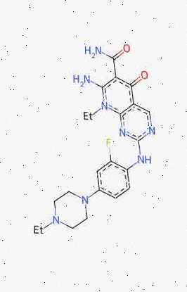 CCN1CCN(c2ccc(Nc3ncc4c(=O)c(C(N)=O)c(N)n(CC)c4n3)c(F)c2)CC1